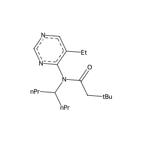 CCCC(CCC)N(C(=O)CC(C)(C)C)c1ncncc1CC